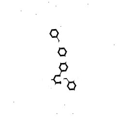 Cc1ccc(Cn2c(-c3ccc(Oc4ccc(OCc5ccccc5)cc4)c(C)c3)cc(C(F)(F)F)c(C#N)c2=O)c(C)c1